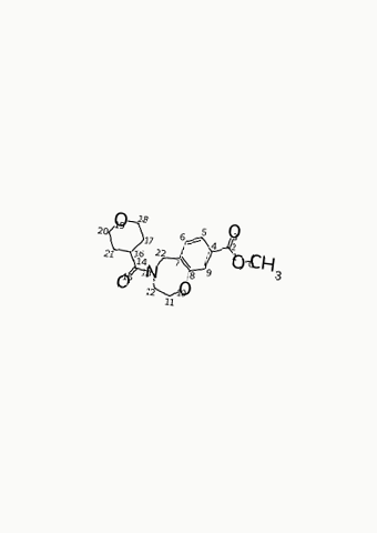 COC(=O)c1ccc2c(c1)OCCN(C(=O)C1CCOCC1)C2